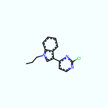 CCCn1cc(-c2ccnc(Cl)n2)c2ccccc21